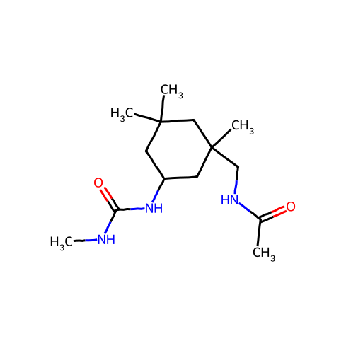 CNC(=O)NC1CC(C)(C)CC(C)(CNC(C)=O)C1